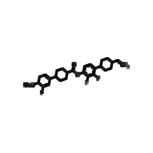 C=CC1CCC(c2ccc(OC(=O)C3CCC(C4=CCC(OC)C(F)=C4)CC3)c(F)c2F)CC1